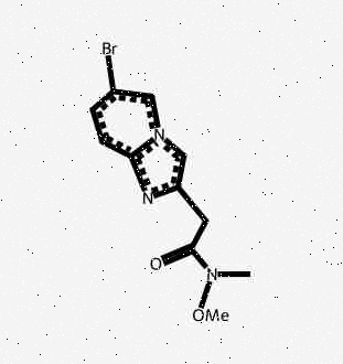 CON(C)C(=O)Cc1cn2cc(Br)ccc2n1